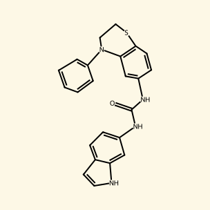 O=C(Nc1ccc2c(c1)N(c1ccccc1)CCS2)Nc1ccc2cc[nH]c2c1